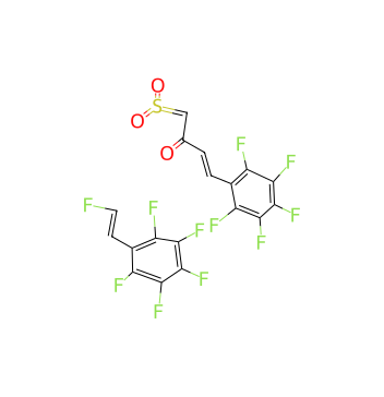 FC=Cc1c(F)c(F)c(F)c(F)c1F.O=C(C=Cc1c(F)c(F)c(F)c(F)c1F)C=S(=O)=O